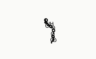 C=CCOC(=O)c1ccc(OCC2CCC(Oc3ccc(C(=O)NC4C5CC6CCCC4C(C6)C5)cc3)CC2)cc1